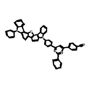 N#Cc1ccc(-c2cc(-c3ccc(-n4c5ccccc5c5c6oc7c(ccc8c7c7ccccc7n8-c7ccccc7)c6ccc54)cc3)nc(-c3ccccc3)n2)cc1